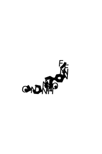 COc1nc(NC2CCN(C3COC3)CC2)nn2ccc(-c3ccc4nnn(CC(C)(F)F)c4c3)c12